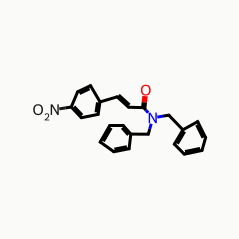 O=C(C=Cc1ccc([N+](=O)[O-])cc1)N(Cc1ccccc1)Cc1ccccc1